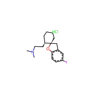 CN(C)CC[C@H]1CCCC[C@]12Cc1cc(I)ccc1O2.Cl